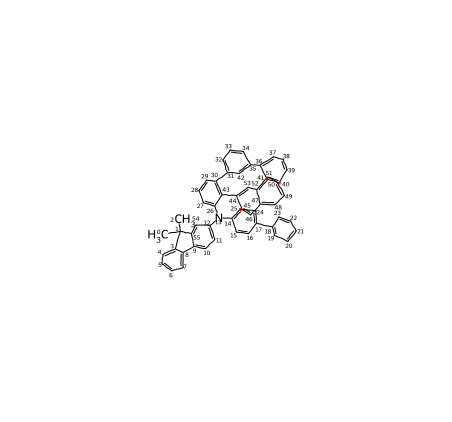 CC1(C)c2ccccc2-c2ccc(N(c3ccc(-c4ccccc4)cc3)c3cccc(-c4cccc(-c5ccccc5)c4)c3-c3ccc4ccccc4c3)cc21